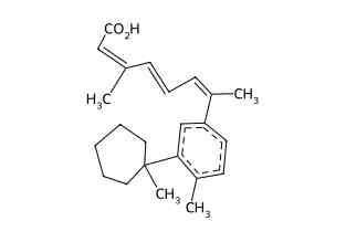 CC(=C/C(=O)O)/C=C/C=C(/C)c1ccc(C)c(C2(C)CCCCC2)c1